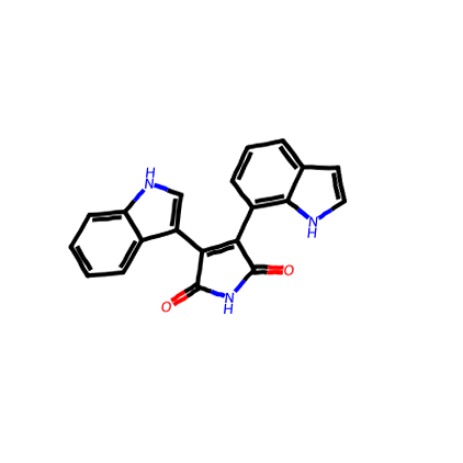 O=C1NC(=O)C(c2cccc3cc[nH]c23)=C1c1c[nH]c2ccccc12